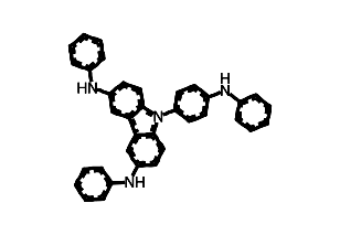 c1ccc(Nc2ccc(-n3c4ccc(Nc5ccccc5)cc4c4cc(Nc5ccccc5)ccc43)cc2)cc1